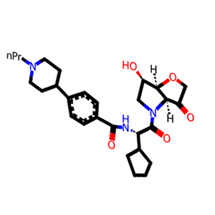 CCCN1CCC(c2ccc(C(=O)N[C@H](C(=O)N3C[C@@H](O)[C@H]4OCC(=O)[C@H]43)C3CCCC3)cc2)CC1